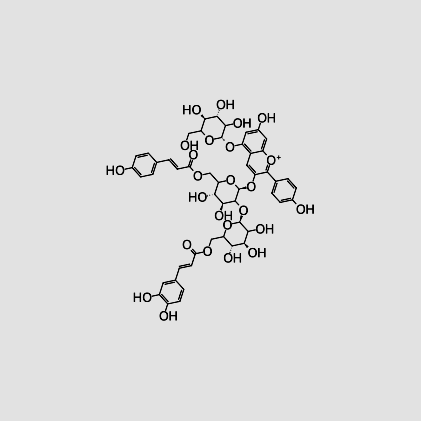 O=C(/C=C/c1ccc(O)c(O)c1)OCC1O[C@@H](OC2[C@H](Oc3cc4c(O[C@@H]5OC(CO)[C@@H](O)[C@H](O)C5O)cc(O)cc4[o+]c3-c3ccc(O)cc3)OC(COC(=O)/C=C/c3ccc(O)cc3)[C@@H](O)[C@@H]2O)C(O)[C@@H](O)[C@@H]1O